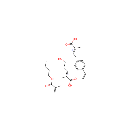 C/C(=C\CCO)C(=O)O.C/C=C(\C)C(=O)O.C=C(C)C(=O)OCCCC.C=Cc1ccccc1